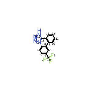 FC(F)(F)c1cccc(-c2ccc[c]c2-c2nnn[nH]2)c1